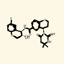 CC1(C)CC(=O)N([C@@H]2CCOc3ccc(C(=O)N[C@@H]4c5cc(F)ccc5OC[C@H]4O)cc32)C(=N)N1